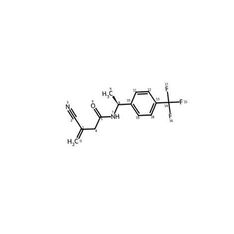 C=C(C#N)CC(=O)N[C@@H](C)c1ccc(C(F)(F)F)cc1